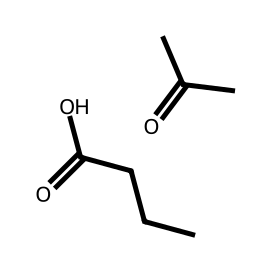 CC(C)=O.CCCC(=O)O